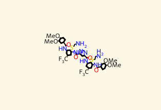 COc1ccc(C(=O)Nc2cc(C(F)(F)F)cc(NC(=O)c3cc(C(=O)Nc4cc(C(F)(F)F)cc(NC(=O)c5ccc(OC)c(OC)c5)c4SCCN)ncn3)c2SCCN)cc1OC